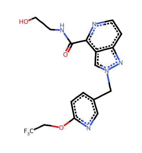 O=C(NCCO)c1nccc2nn(Cc3ccc(OCC(F)(F)F)nc3)cc12